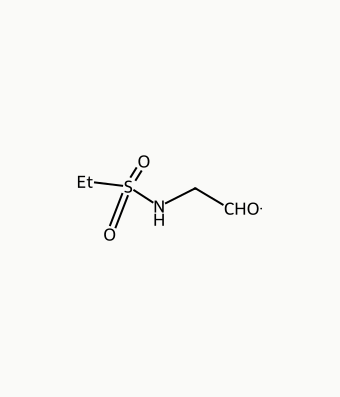 CCS(=O)(=O)NC[C]=O